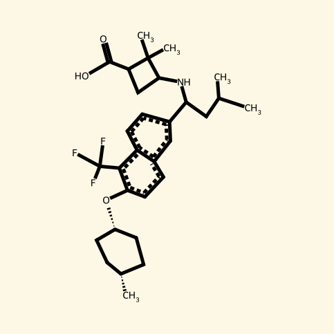 CC(C)CC(NC1CC(C(=O)O)C1(C)C)c1ccc2c(C(F)(F)F)c(O[C@H]3CC[C@@H](C)CC3)ccc2c1